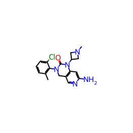 Cc1cccc(Cl)c1N1Cc2cnc(N)cc2N(C2CN(C)C2)C1=O